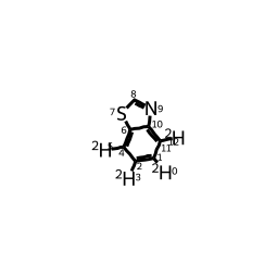 [2H]c1c([2H])c([2H])c2scnc2c1[2H]